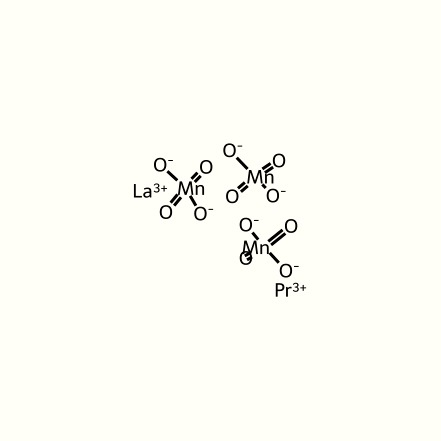 [La+3].[O]=[Mn](=[O])([O-])[O-].[O]=[Mn](=[O])([O-])[O-].[O]=[Mn](=[O])([O-])[O-].[Pr+3]